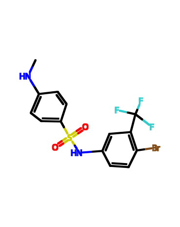 CNc1ccc(S(=O)(=O)Nc2ccc(Br)c(C(F)(F)F)c2)cc1